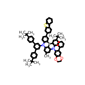 Cc1cc2c3c(c1)N(c1cc4c(cc1-c1ccccc1)OCCO4)c1ccc(C(C)(C)C)cc1B3c1cc(-c3ccc4c(c3)sc3ccccc34)ccc1N2c1cc(-c2ccc(C(C)(C)C)cc2)cc(-c2ccc(C(C)(C)C)cc2)c1